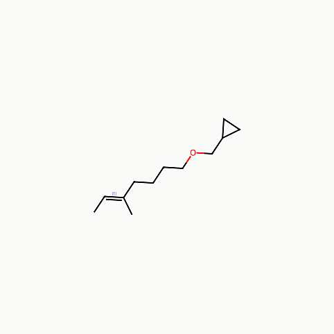 C/C=C(\C)CCCCOCC1CC1